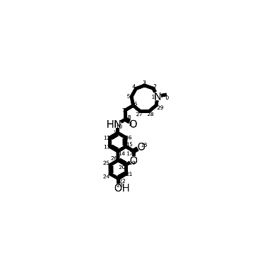 CN1CCCCC(CC(=O)Nc2ccc3c(c2)c(=O)oc2cc(O)ccc23)CCC1